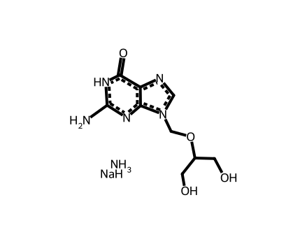 N.Nc1nc2c(ncn2COC(CO)CO)c(=O)[nH]1.[NaH]